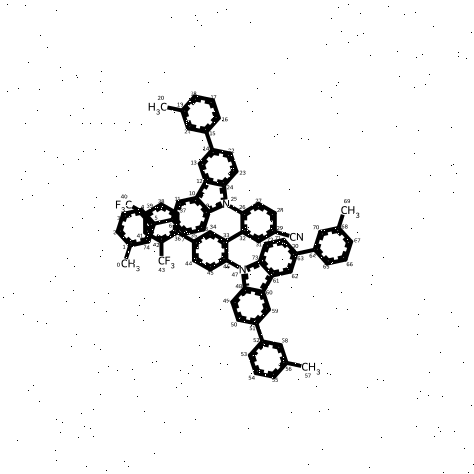 Cc1cccc(-c2ccc3c(c2)c2cc(-c4cccc(C)c4)ccc2n3-c2ccc(C#N)cc2-c2cc(-c3ccc(C(F)(F)F)cc3C(F)(F)F)ccc2-n2c3ccc(-c4cccc(C)c4)cc3c3cc(-c4cccc(C)c4)ccc32)c1